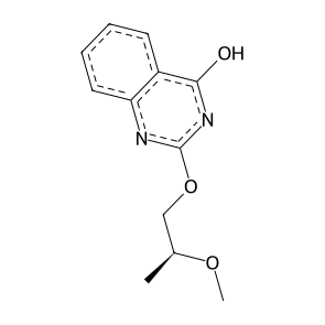 CO[C@@H](C)COc1nc(O)c2ccccc2n1